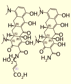 CN(C)c1ccc(O)c2c1C[C@H]1C[C@H]3[C@H](N(C)C)C(=O)C(C(N)=O)=C(O)[C@@]3(O)C(=O)C1=C2O.CN(C)c1ccc(O)c2c1C[C@H]1C[C@H]3[C@H](N(C)C)C(=O)C(C(N)=O)=C(O)[C@@]3(O)C(=O)C1=C2O.O=C(O)/C=C/C(=O)O